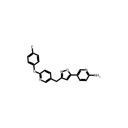 Nc1ccc(-c2cc(Cc3ccc(Oc4ccc(F)cc4)nc3)no2)cn1